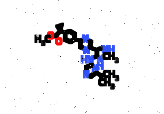 CN/C(Nc1cncc(C(C)C)n1)=C(\C=N)c1cnc(-c2ccc(C3(C(=O)OC)CC3)cc2)cn1